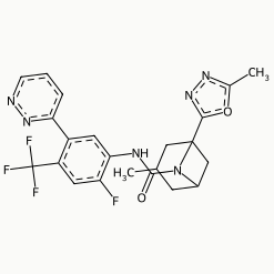 Cc1nnc(C23CC(C)CC(C2)N3C(=O)Nc2cc(-c3cccnn3)c(C(F)(F)F)cc2F)o1